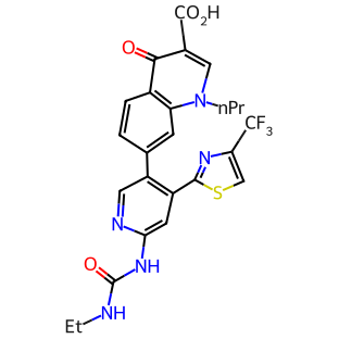 CCCn1cc(C(=O)O)c(=O)c2ccc(-c3cnc(NC(=O)NCC)cc3-c3nc(C(F)(F)F)cs3)cc21